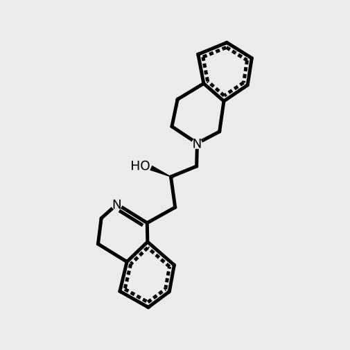 O[C@H](CC1=NCCc2ccccc21)CN1CCc2ccccc2C1